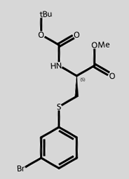 COC(=O)[C@@H](CSc1cccc(Br)c1)NC(=O)OC(C)(C)C